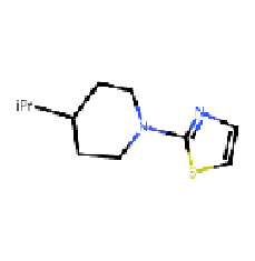 CC(C)C1CCN(c2nccs2)CC1